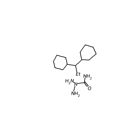 CCC(C1CCCCC1)C1CCCCC1.NC(=O)N(N)N